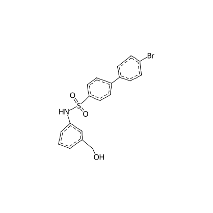 O=S(=O)(Nc1cccc(CO)c1)c1ccc(-c2ccc(Br)cc2)cc1